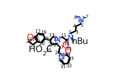 CCCCN(CCCCN(C)C)C(=O)CN1C[C@H](c2ccc3c(c2)CCO3)[C@@H](C(=O)O)[C@@H]1CCn1ccccc1=O